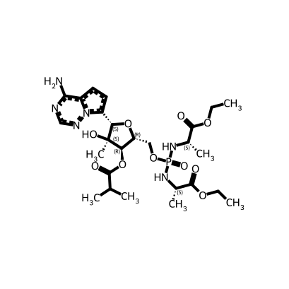 CCOC(=O)[C@H](C)NP(=O)(N[C@@H](C)C(=O)OCC)OC[C@H]1O[C@@H](c2ccc3c(N)ncnn23)[C@](C)(O)[C@@H]1OC(=O)C(C)C